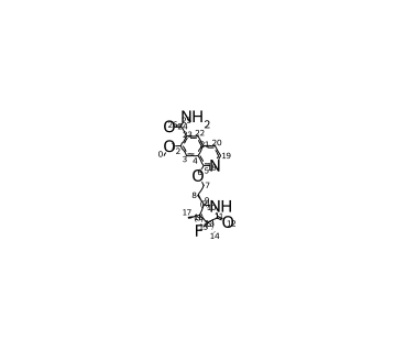 COc1cc2c(OCC[C@H]3NC(=O)[C@@](C)(F)[C@H]3C)nccc2cc1C(N)=O